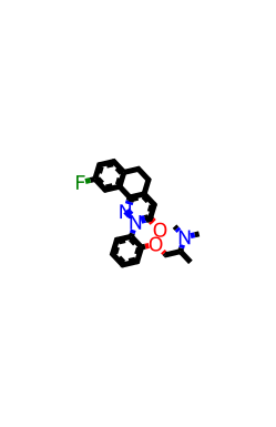 CC(COc1ccccc1-n1nc2c(cc1=O)CCc1ccc(F)cc1-2)N(C)C